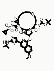 COc1ccc2c(O[C@@H]3C[C@H]4C(=O)N[C@]5(C(=O)NS(=O)(=O)C6CC6)C[C@H]5CCCCOCC[C@H](NC(=O)OC(C)(C)C)C(=O)N4C3)nc(-c3csc(NC(C)C)n3)cc2c1